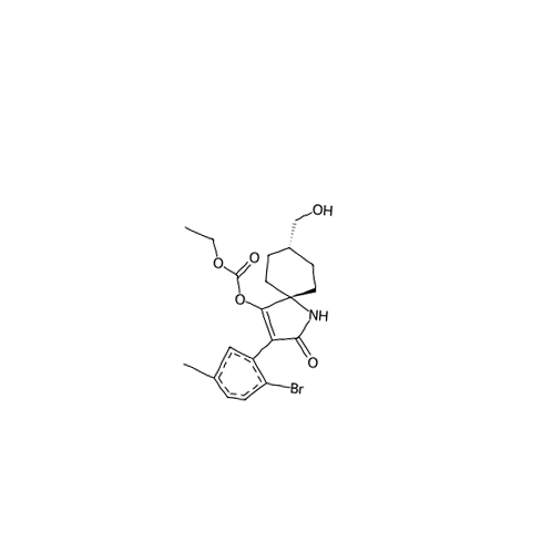 CCOC(=O)OC1=C(c2cc(C)ccc2Br)C(=O)N[C@]12CC[C@@H](CO)CC2